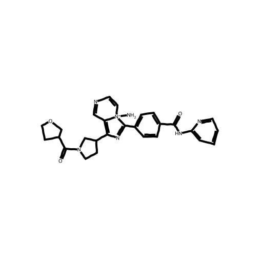 N[N+]12C=CN=CC1=C(C1CCN(C(=O)C3CCOC3)C1)N=C2c1ccc(C(=O)Nc2ccccn2)cc1